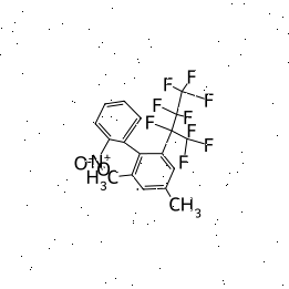 Cc1[c]c(C)c(-c2ccccc2[N+](=O)[O-])c(C(F)(C(F)(F)F)C(F)(F)C(F)(F)F)c1